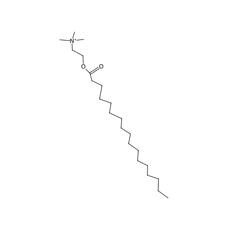 CCCCCCCCCCCCCCCCC(=O)OCC[N+](C)(C)C